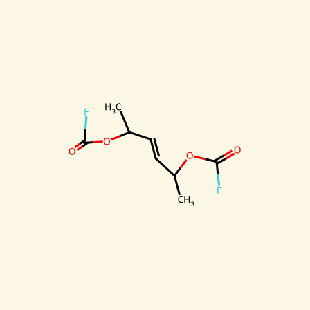 CC(/C=C/C(C)OC(=O)F)OC(=O)F